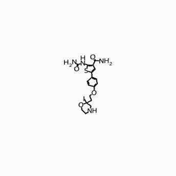 NC(=O)Nc1sc(-c2ccc(OCCC3(I)CNCCO3)cc2)cc1C(N)=O